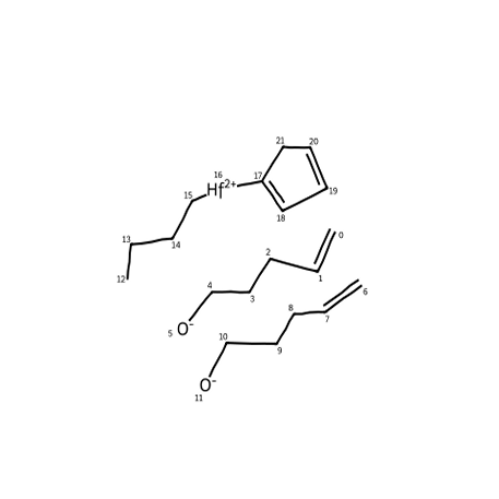 C=CCCC[O-].C=CCCC[O-].CCC[CH2][Hf+2][C]1=CC=CC1